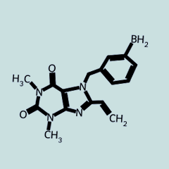 Bc1cccc(Cn2c(C=C)nc3c2c(=O)n(C)c(=O)n3C)c1